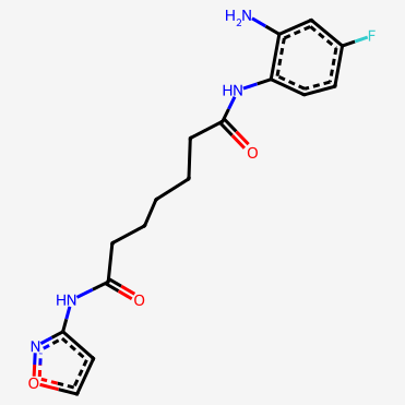 Nc1cc(F)ccc1NC(=O)CCCCCC(=O)Nc1ccon1